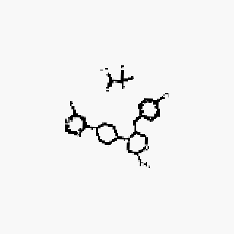 C[C@H]1CN(C2CCN(c3cc(F)ncn3)CC2)[C@@H](Cc2ccc(Cl)cc2)CO1.O=C(O)C(F)(F)F